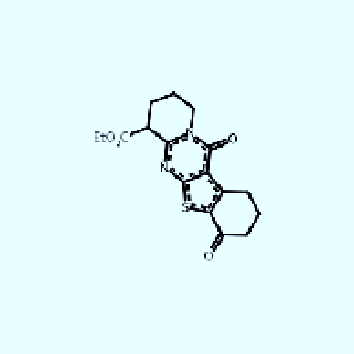 CCOC(=O)C1CCCn2c1nc1sc3c(c1c2=O)CCCC3=O